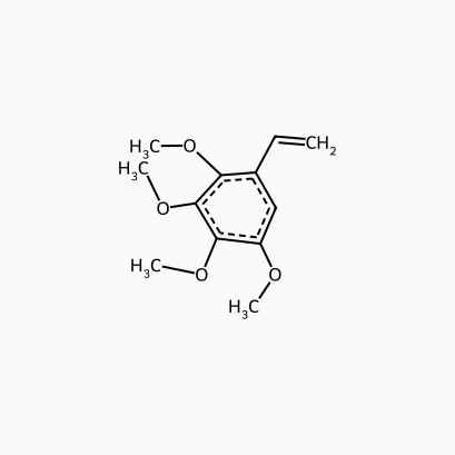 C=Cc1cc(OC)c(OC)c(OC)c1OC